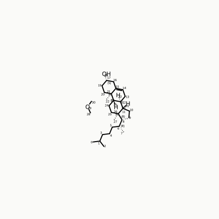 CC(C)CCC[C@@H](C)[C@H]1CC[C@H]2[C@@H]3CC=C4C[C@@H](O)CC[C@]4(C)[C@H]3CC[C@]12C.COC